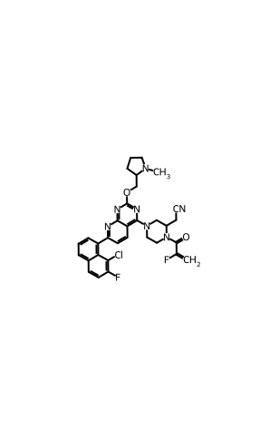 C=C(F)C(=O)N1CCN(c2nc(OCC3CCCN3C)nc3nc(-c4cccc5ccc(F)c(Cl)c45)ccc23)CC1CC#N